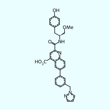 COC[C@H](Cc1ccc(O)cc1)NC(=O)c1cc(C(=O)O)c2cc(-c3cccc(Cn4cccn4)c3)ccc2n1